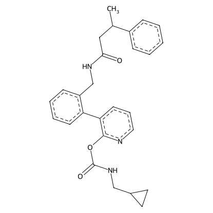 CC(CC(=O)NCc1ccccc1-c1cccnc1OC(=O)NCC1CC1)c1ccccc1